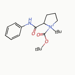 CC(C)(C)OC(=O)[N+]1(C(C)(C)C)CCCC1C(=O)Nc1ccccc1